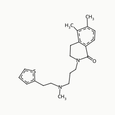 Cc1ccc2c(c1C)CCN(CCCN(C)CCc1cccs1)C2=O